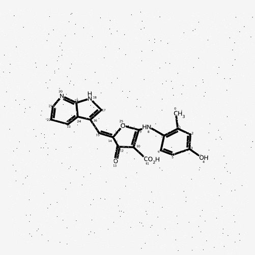 Cc1cc(O)ccc1NC1=C(C(=O)O)C(=O)/C(=C/c2c[nH]c3ncccc23)O1